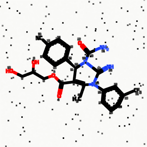 CC1=C(C(=O)OCC(O)CO)[C@@H](c2ccc(C#N)cc2)N(C(N)=O)C(=N)N1c1cccc(C(F)(F)F)c1